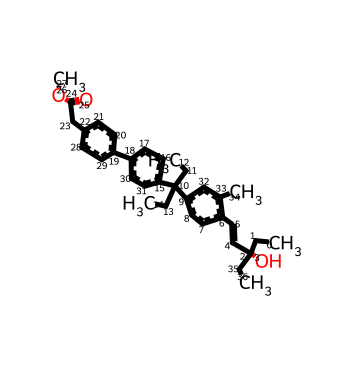 CCC(O)(C=Cc1ccc(C(CC)(CC)c2ccc(-c3ccc(CC(=O)OC)cc3)cc2)cc1C)CC